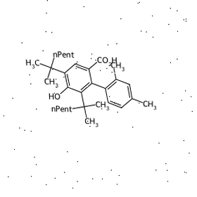 CCCCCC(C)(C)c1cc(C(=O)O)c(-c2ccc(C)cc2C)c(C(C)(C)CCCCC)c1O